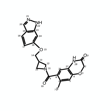 O=C1COc2cc(F)c(C(=O)N3CC(COc4ccc5cn[nH]c5c4)C3)cc2N1